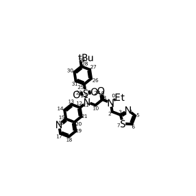 CCN(Cc1nccs1)C(=O)CN(c1ccc2ncccc2c1)S(=O)(=O)c1ccc(C(C)(C)C)cc1